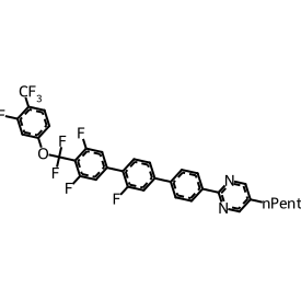 CCCCCc1cnc(-c2ccc(-c3ccc(-c4cc(F)c(C(F)(F)Oc5ccc(C(F)(F)F)c(F)c5)c(F)c4)c(F)c3)cc2)nc1